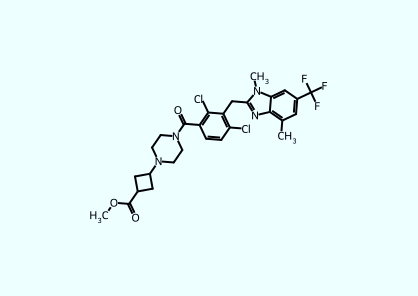 COC(=O)C1CC(N2CCN(C(=O)c3ccc(Cl)c(Cc4nc5c(C)cc(C(F)(F)F)cc5n4C)c3Cl)CC2)C1